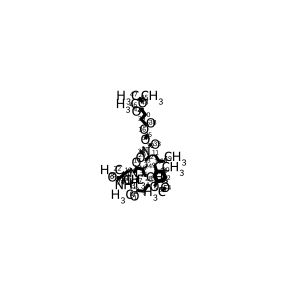 COCCCOc1cc(C[C@@H](C[C@H]2[C@H](C[C@H](C(=O)NCC(C)(C)C(N)=O)C(C)C)OCN2C(=O)OCOC(=O)CCC(=O)OC(C)(C)C)C(C)C)ccc1OC